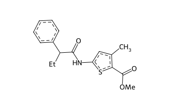 CCC(C(=O)Nc1cc(C)c(C(=O)OC)s1)c1ccccc1